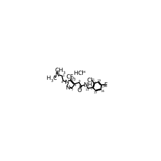 CN(C)CCn1ncc(CC(=O)NCc2ccc(F)cc2Cl)c1C(F)(F)F.Cl